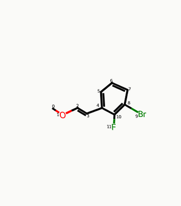 COC=Cc1cccc(Br)c1F